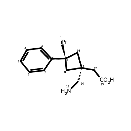 CC(C)[C@]1(c2ccccc2)C[C@](CN)(CC(=O)O)C1